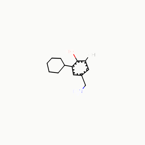 Cc1cc(CN)cc(C2CCCCC2)c1O